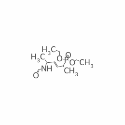 CCOP(=O)(OCC)C(C)/C=C/C(C)NC=O